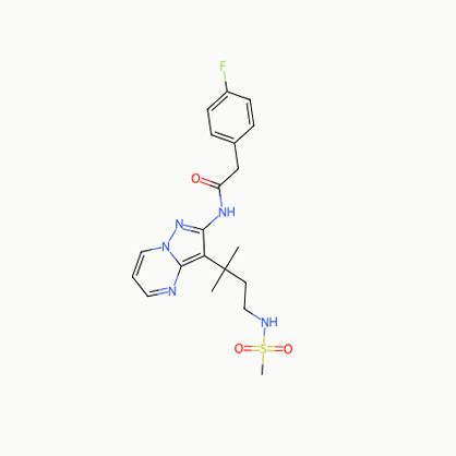 CC(C)(CCNS(C)(=O)=O)c1c(NC(=O)Cc2ccc(F)cc2)nn2cccnc12